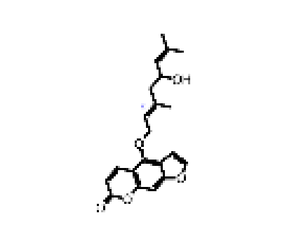 CC(C)=CC(O)C/C(C)=C/COc1c2ccoc2cc2oc(=O)ccc12